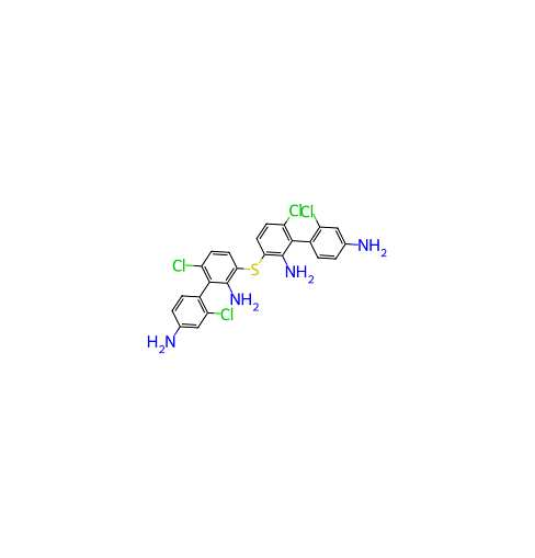 Nc1ccc(-c2c(Cl)ccc(Sc3ccc(Cl)c(-c4ccc(N)cc4Cl)c3N)c2N)c(Cl)c1